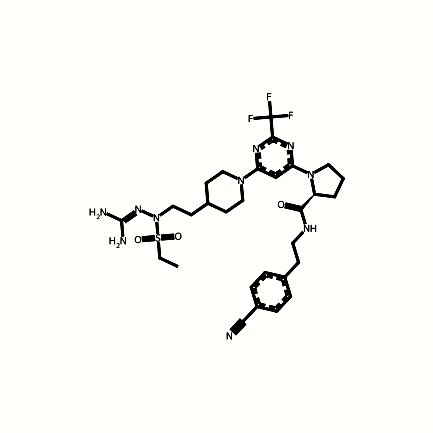 CCS(=O)(=O)N(CCC1CCN(c2cc(N3CCC[C@H]3C(=O)NCCc3ccc(C#N)cc3)nc(C(F)(F)F)n2)CC1)N=C(N)N